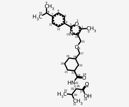 Cc1oc(-c2ccc(C(C)C)cc2)nc1COCC1CCCC(C(=O)N[C@H](C(=O)O)C(C)C)C1